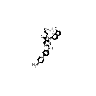 C=CCn1c(=O)c2cnc(Nc3ccc(N4CCN(C)CC4)cc3)nc2n1C1CC=C2CCC(C)C2=N1